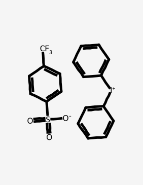 O=S(=O)([O-])c1ccc(C(F)(F)F)cc1.c1ccc([I+]c2ccccc2)cc1